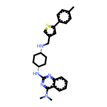 Cc1ccc(-c2cc(CN[C@H]3CC[C@@H](Nc4nc(N(C)C)c5ccccc5n4)CC3)cs2)cc1